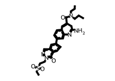 CCCN(CCC)C(=O)C1=Cc2ccc(-c3ccc4c(=O)n(CCS(=O)(=O)CC)ncc4c3)cc2N=C(N)C1